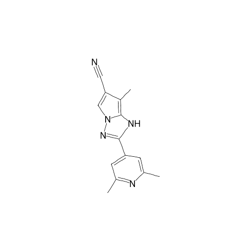 Cc1cc(-c2nn3cc(C#N)c(C)c3[nH]2)cc(C)n1